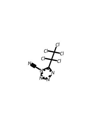 N#Cn1nnnc1C(Cl)(Cl)C(Cl)(Cl)Cl